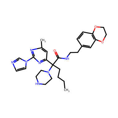 CCCCC(C(=O)NCCc1ccc2c(c1)OCCO2)(c1cc(C)nc(-n2ccnc2)n1)N1CCNCC1